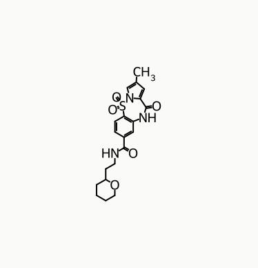 Cc1cc2n(c1)S(=O)(=O)c1ccc(C(=O)NCCC3CCCCO3)cc1NC2=O